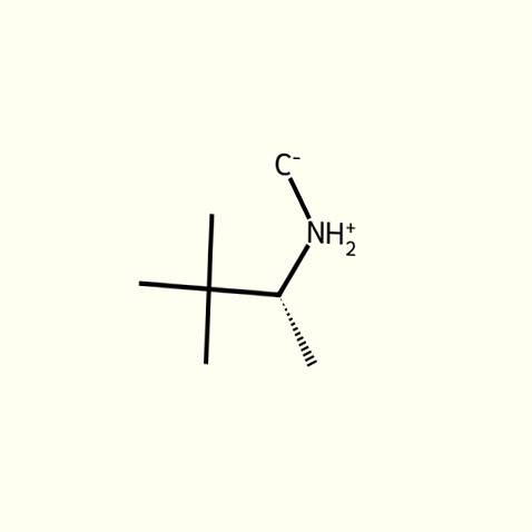 [CH2-][NH2+][C@H](C)C(C)(C)C